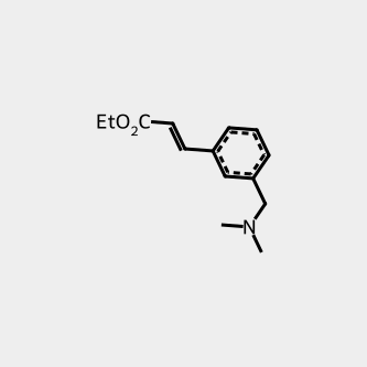 CCOC(=O)C=Cc1cccc(CN(C)C)c1